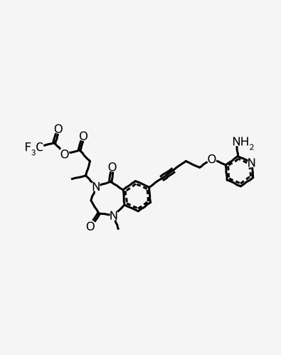 CC(CC(=O)OC(=O)C(F)(F)F)N1CC(=O)N(C)c2ccc(C#CCCOc3cccnc3N)cc2C1=O